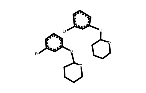 CCc1cccc(OC2CCCCO2)c1.CCc1cccc(OC2CCCCO2)c1